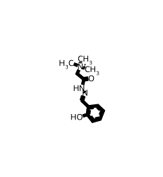 C[N+](C)(C)CC(=O)N/N=C/c1ccccc1O